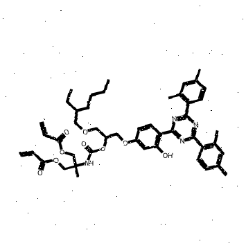 C=CC(=O)OCC(C)(COC(=O)C=C)NC(=O)OC(COCC(CC)CCCC)COc1ccc(-c2nc(-c3ccc(C)cc3C)nc(-c3ccc(C)cc3C)n2)c(O)c1